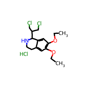 CCOc1cc2c(cc1OCC)C(C(CCl)CCl)NCC2.Cl